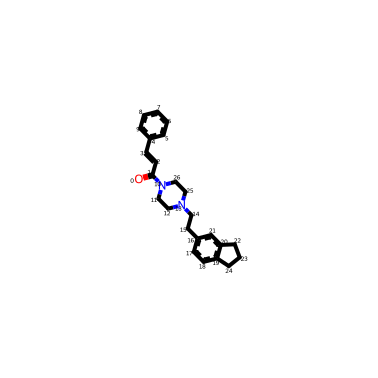 O=C(/C=C/c1ccccc1)N1CCN(CCc2ccc3c(c2)CCC3)CC1